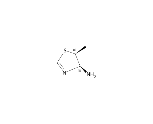 C[C@@H]1SC=N[C@@H]1N